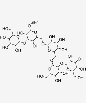 CCCOC1OC(COC2OC(COC3OC(CO)C(O)C(O)C3OC3OC(CO)C(O)C(O)C3O)[C@H](O)C(O)C2O)C(O)C(OC2OC(CO)C(O)C(O)C2O)C1O